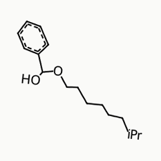 CC(C)CCCCCCOC(O)c1ccccc1